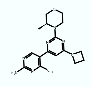 C[C@H]1COCCN1c1nc(-c2cnc(N)nc2C(F)(F)F)cc(N2CCC2)n1